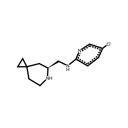 Clc1ccc(NC[C@@H]2CC3(CCN2)CC3)nc1